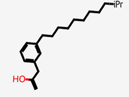 C=C(O)Cc1cccc(CCCCCCCCCC(C)C)c1